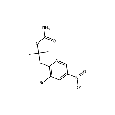 CC(C)(Cc1ncc([N+](=O)[O-])cc1Br)OC(N)=O